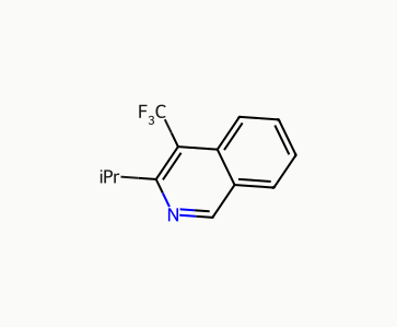 CC(C)c1ncc2ccccc2c1C(F)(F)F